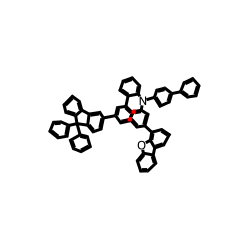 c1ccc(-c2ccc(N(c3cccc(-c4cccc5c4oc4ccccc45)c3)c3ccccc3-c3cccc(-c4ccc5c(c4)-c4ccccc4C5(c4ccccc4)c4ccccc4)c3)cc2)cc1